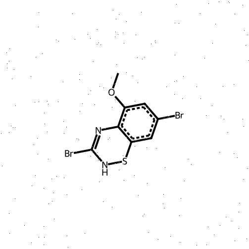 COc1cc(Br)cc2c1N=C(Br)NS2